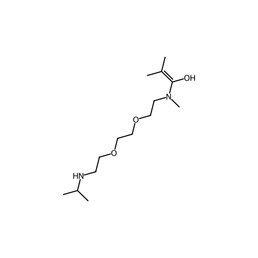 CC(C)=C(O)N(C)CCOCCOCCNC(C)C